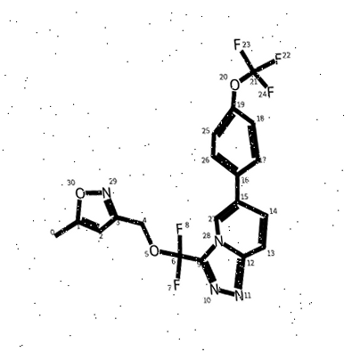 Cc1cc(COC(F)(F)c2nnc3ccc(-c4ccc(OC(F)(F)F)cc4)cn23)no1